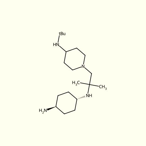 CC(C)(C)NC1CCN(CC(C)(C)N[C@H]2CC[C@H](N)CC2)CC1